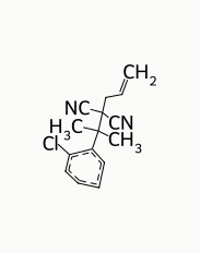 C=CCC(C#N)(C#N)C(C)(C)c1ccccc1Cl